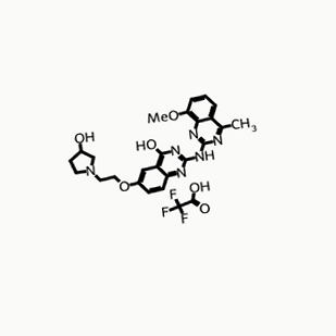 COc1cccc2c(C)nc(Nc3nc(O)c4cc(OCCN5CCC(O)C5)ccc4n3)nc12.O=C(O)C(F)(F)F